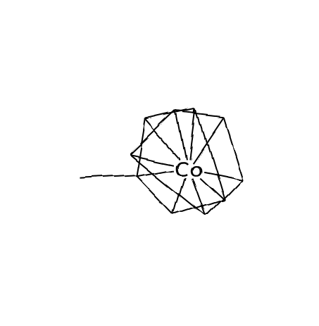 C[C]12[CH]3[CH]4[CH]5[CH]1[Co]45321678[CH]2[CH]1[CH]6[CH]7[CH]28